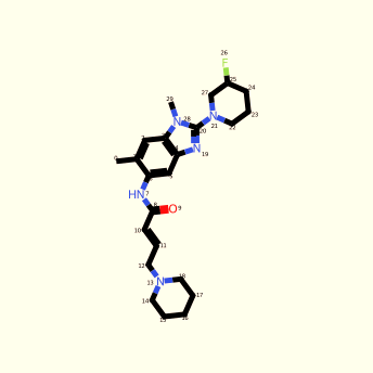 Cc1cc2c(cc1NC(=O)/C=C/CN1CCCCC1)nc(N1CCCC(F)C1)n2C